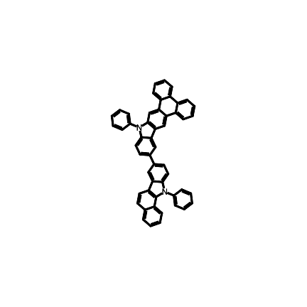 c1ccc(-n2c3ccc(-c4ccc5c(c4)c4ccc6ccccc6c4n5-c4ccccc4)cc3c3cc4c5ccccc5c5ccccc5c4cc32)cc1